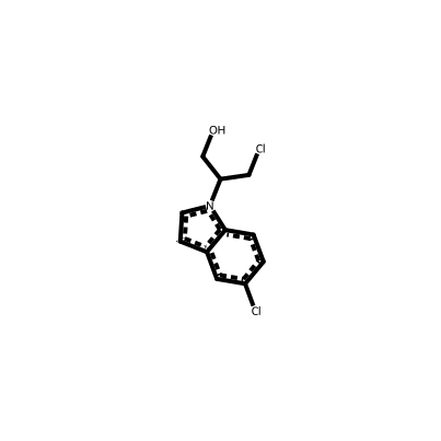 OCC(CCl)n1c[c]c2cc(Cl)ccc21